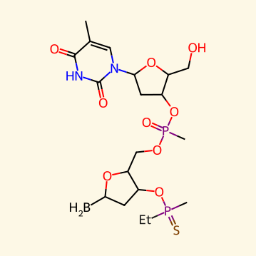 BC1CC(OP(C)(=S)CC)C(COP(C)(=O)OC2CC(n3cc(C)c(=O)[nH]c3=O)OC2CO)O1